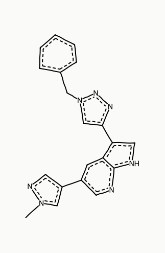 Cn1cc(-c2cnc3[nH]cc(-c4cn(Cc5ccccc5)nn4)c3c2)cn1